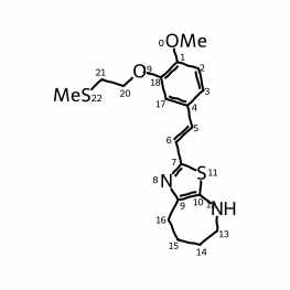 COc1ccc(C=Cc2nc3c(s2)NCCCC3)cc1OCCSC